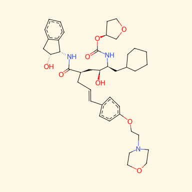 O=C(N[C@@H](CC1CCCCC1)[C@@H](O)C[C@@H](C/C=C/c1ccc(OCCN2CCOCC2)cc1)C(=O)N[C@H]1c2ccccc2C[C@H]1O)O[C@H]1CCOC1